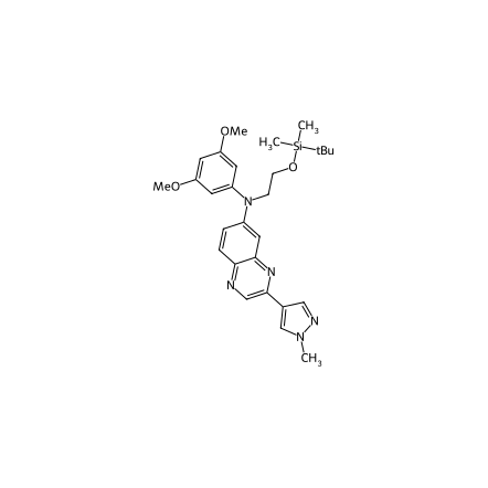 COc1cc(OC)cc(N(CCO[Si](C)(C)C(C)(C)C)c2ccc3ncc(-c4cnn(C)c4)nc3c2)c1